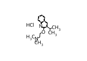 CC(C)c1cc2ccccc2nc1OCCN(C)C.Cl